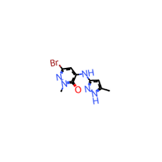 Cc1cc(Nc2cc(Br)nn(C)c2=O)n[nH]1